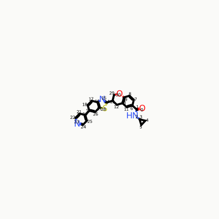 O=C(NC1CC1)c1ccc2c(c1)CC(c1nc3ccc(-c4ccncc4)cc3s1)CO2